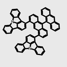 c1ccc2c(-c3c4cccc(-c5ccc6c7ccccc7n7c8ccccc8c5c67)c4cc4c(-c5ccc6c7ccccc7n7c8ccccc8c5c67)cccc34)c3ccccc3cc2c1